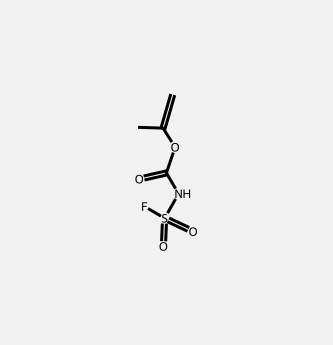 C=C(C)OC(=O)NS(=O)(=O)F